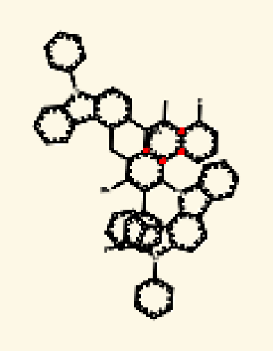 Cc1ccccc1-c1ccc2c(c1Cc1c(C(C)(C)C)c(-c3cccc(F)c3)c(-n3c4ccccc4c4ccc5c(c6ccccc6n5-c5ccccc5)c43)c(-c3cccc(F)c3)c1C(C)(C)C)c1ccccc1n2-c1ccccc1